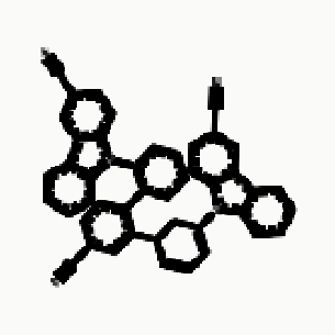 N#Cc1ccc(-c2ccccc2-n2c3ccccc3c3cc(C#N)ccc32)c(C2C=CC=C(n3c4ccccc4c4cc(C#N)ccc43)C2)c1